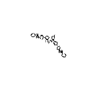 Cc1cc(-c2ccc(-c3ccc(/N=N/c4ccccc4)cc3)cc2)c(N)c(-c2ccc(-c3ccc(/N=N/c4ccccc4)cc3)cc2)c1